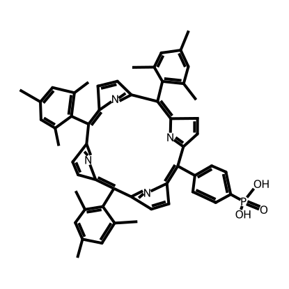 Cc1cc(C)c(C2=C3C=CC(=N3)C(c3ccc(P(=O)(O)O)cc3)=C3C=CC(=N3)C(c3c(C)cc(C)cc3C)=C3C=CC(=N3)C(c3c(C)cc(C)cc3C)=C3C=CC2=N3)c(C)c1